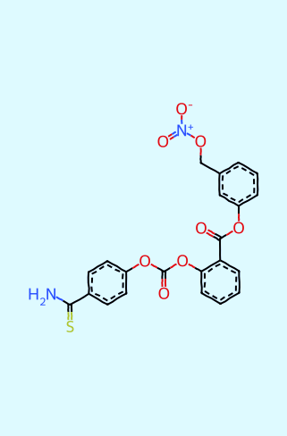 NC(=S)c1ccc(OC(=O)Oc2ccccc2C(=O)Oc2cccc(CO[N+](=O)[O-])c2)cc1